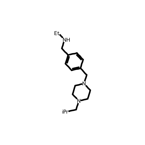 CCNCc1ccc(CN2CCN(CC(C)C)CC2)cc1